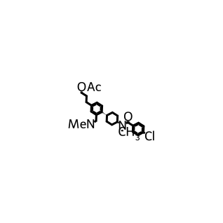 CNCc1cc(CCCOC(C)=O)ccc1[C@H]1CC[C@H](N(C)C(=O)c2ccc(Cl)cc2)CC1